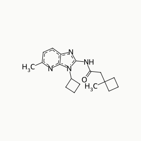 Cc1ccc2nc(NC(=O)CC3(C)CCC3)n(C3CCC3)c2n1